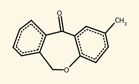 Cc1ccc2c(c1)C(=O)c1ccccc1CO2